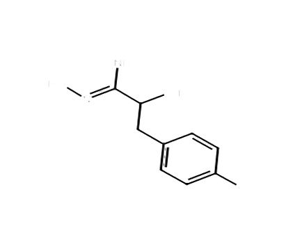 NC(=NO)C(S)Cc1ccc(Cl)cc1